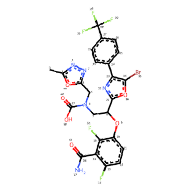 Cc1nnc(CN(CC(Oc2ccc(F)c(C(N)=O)c2F)c2nc(-c3ccc(C(F)(F)F)cc3)c(Br)o2)C(=O)O)o1